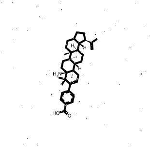 C=C(C)[C@@H]1CCC2CC[C@]3(C)[C@H](CC[C@@H]4[C@@]5(C)CC=C(c6ccc(C(=O)O)cc6)C(C)(C)[C@]5(N)CC[C@]43C)[C@H]21